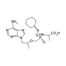 CC(Cn1cnc2c(N)ncnc21)OCP(=O)(NC(C)C(=O)O)ON=C1CCCCC1